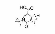 Cc1c[nH]c2c(C(=O)O)cn(C3(C)CC3)c(=O)c12